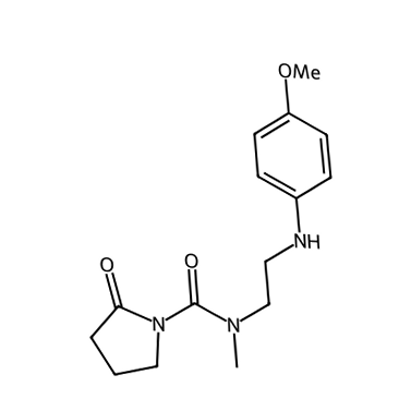 COc1ccc(NCCN(C)C(=O)N2CCCC2=O)cc1